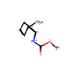 CC(C)(C)OC(=O)NCC1(C(=O)O)CCC1